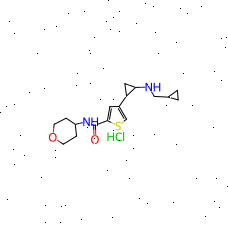 Cl.O=C(NC1CCOCC1)c1cc(C2CC2NCC2CC2)cs1